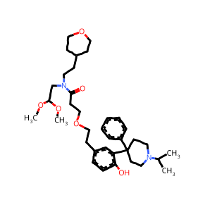 COC(CN(CCC1CCOCC1)C(=O)CCOCCc1ccc(O)c(C2(c3ccccc3)CCN(C(C)C)CC2)c1)OC